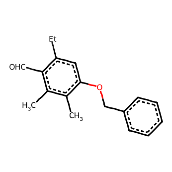 CCc1cc(OCc2ccccc2)c(C)c(C)c1C=O